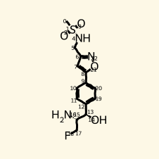 CS(=O)(=O)NCc1cc(-c2ccc([C@@H](O)[C@@H](N)CF)cc2)on1